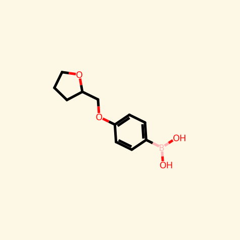 OB(O)c1ccc(OCC2CCCO2)cc1